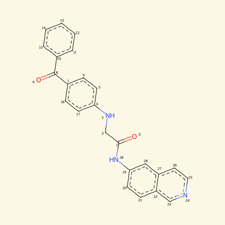 O=C(CNc1ccc(C(=O)c2ccccc2)cc1)Nc1ccc2cnccc2c1